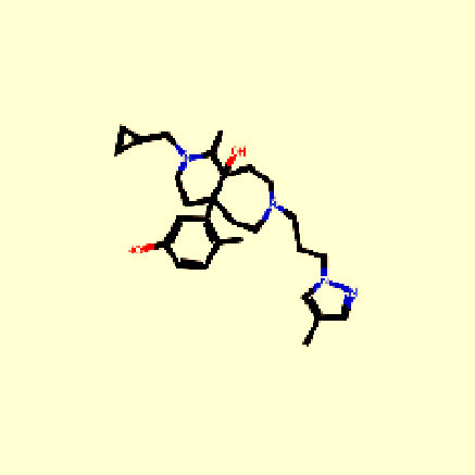 Cc1cnn(CCCN2CCC3(c4cc(O)ccc4C)CCN(CC4CC4)C(C)C3(O)CC2)c1